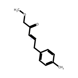 COCC(=O)/C=C/Cc1ccc(C)cc1